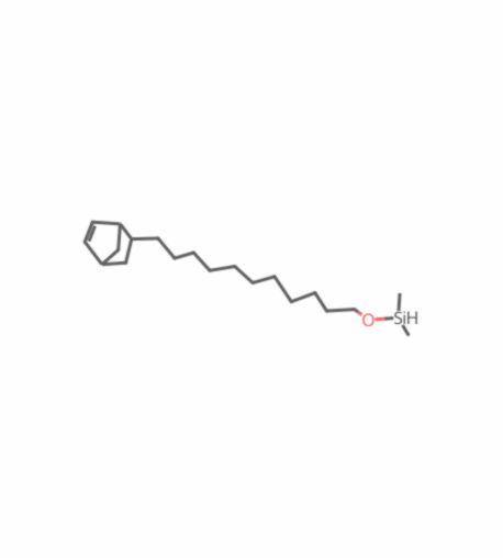 C[SiH](C)OCCCCCCCCCCCC1CC2C=CC1C2